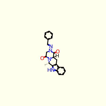 C[C@H]1c2[nH]c3ccccc3c2C[C@H]2C(=O)N(/N=C/c3ccccc3)CC(=O)N21